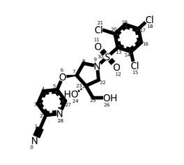 N#Cc1ccc(O[C@H]2CN(S(=O)(=O)c3c(Cl)cc(Cl)cc3Cl)C[C@@]2(O)CO)cn1